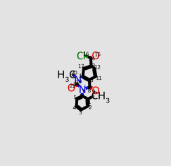 Cc1ccccc1-n1c(=O)c2ccc(C(=O)Cl)cc2n(C)c1=O